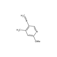 C=Bc1cnc(OC)cc1C